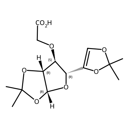 CC1(C)OC=C([C@@H]2O[C@@H]3OC(C)(C)O[C@@H]3[C@H]2OCC(=O)O)O1